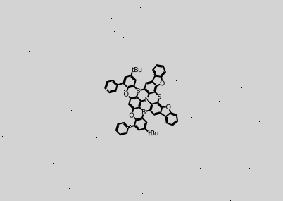 CC(C)(C)c1cc2c(c(-c3ccccc3)c1)Oc1cc3c4c5c1B2c1cc2c(oc6ccccc62)c2c1N5c1c(cc5c(oc6ccccc65)c1S2)B4c1cc(C(C)(C)C)cc(-c2ccccc2)c1O3